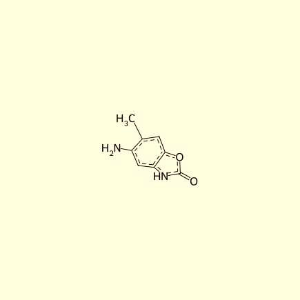 Cc1cc2oc(=O)[nH]c2cc1N